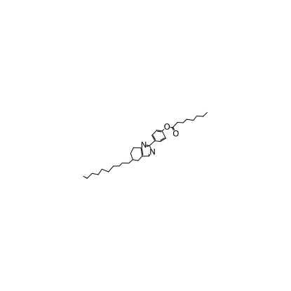 CCCCCCCCCCC1CCc2nc(-c3ccc(OC(=O)CCCCCCC)cc3)ncc2C1